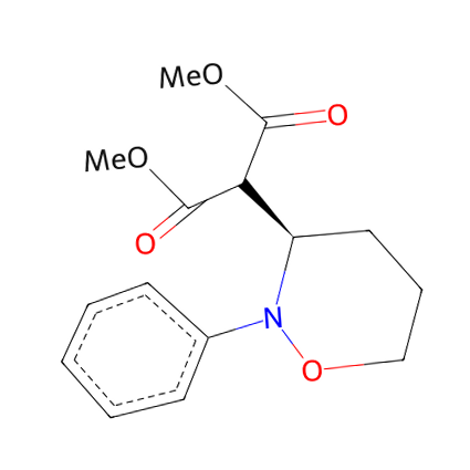 COC(=O)C(C(=O)OC)[C@H]1CCCON1c1ccccc1